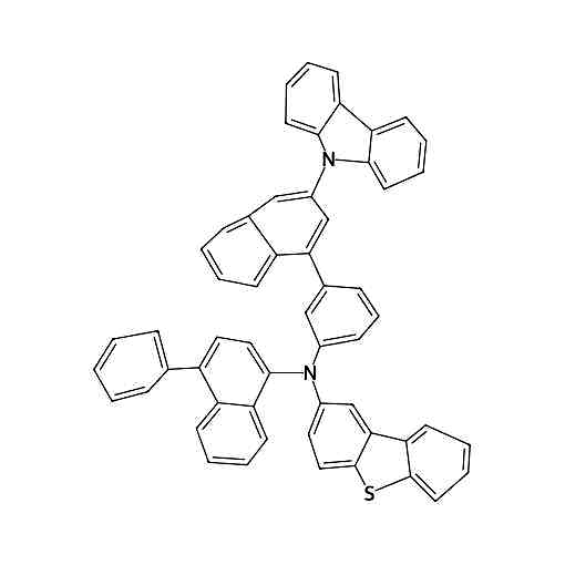 c1ccc(-c2ccc(N(c3cccc(-c4cc(-n5c6ccccc6c6ccccc65)cc5ccccc45)c3)c3ccc4sc5ccccc5c4c3)c3ccccc23)cc1